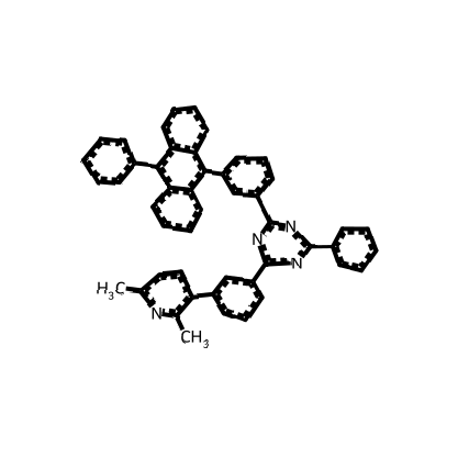 Cc1ccc(-c2cccc(-c3nc(-c4ccccc4)nc(-c4cccc(-c5c6ccccc6c(-c6ccccc6)c6ccccc56)c4)n3)c2)c(C)n1